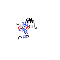 C=CC(=O)Nc1cc(Nc2cc(-c3cn(Cc4ccccc4)c4ccccc34)ncn2)c(C=O)cc1N(C)CCN(C)C